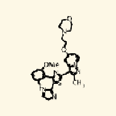 COc1cccc(F)c1-c1nc(-c2c(C)nn3ccc(OCCN4CCOCC4)cc23)sc1C1=NCC=N1